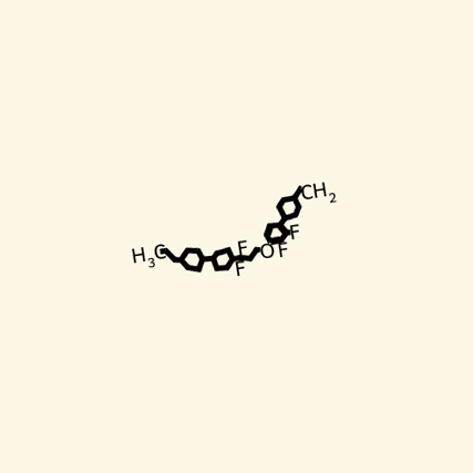 C=CC1CCC(c2ccc(OCCC(F)(F)C3CCC(C4CCC(CCC)CC4)CC3)c(F)c2F)CC1